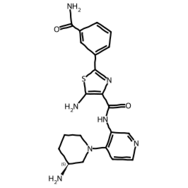 NC(=O)c1cccc(-c2nc(C(=O)Nc3cnccc3N3CCC[C@H](N)C3)c(N)s2)c1